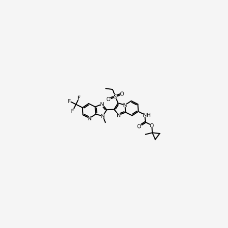 CCS(=O)(=O)c1c(-c2nc3cc(C(F)(F)F)cnc3n2C)nc2cc(NC(=O)OC3(C)CC3)ccn12